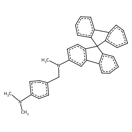 CN(C)c1ccc(CN(C)c2ccc3c(c2)-c2ccccc2C32c3ccccc3-c3ccccc32)cc1